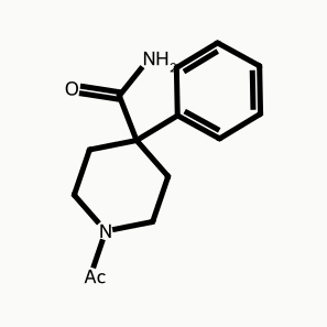 CC(=O)N1CCC(C(N)=O)(c2ccccc2)CC1